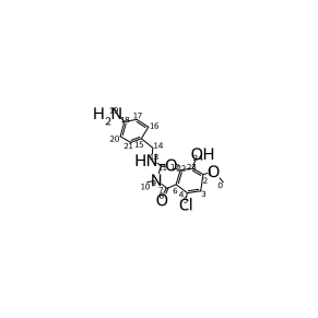 COc1cc(Cl)c(C(=O)N(C)C(=O)NCc2ccc(N)cc2)cc1O